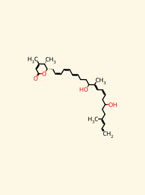 C=C/C=C(\C)CCC(O)C/C=C\C=C(/C)C(O)CC/C=C/C=C\C=C/C[C@@H]1OC(=O)C=C(C)[C@@H]1C